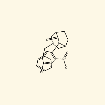 O=C1C2CCC(CN(Cc3ccccc3)C2)N1c1ccc(Cl)cc1[N+](=O)[O-]